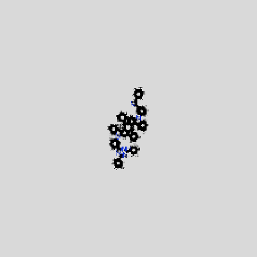 CC1(c2ccccc2)c2ccc3c(c2C(C)(c2ccccc2)c2ccc4c(c21)c1ccccc1n4-c1cccc(C2=NC(c4ccccc4)=NC(c4ccccc4)N2)c1)c1ccccc1n3-c1cccc([C@@H]2N=C2c2ccccc2)c1